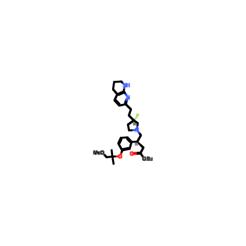 COCC(C)(C)Oc1cccc([C@H](CC(=O)OCC(C)C)CN2CC[C@@](F)(CCc3ccc4c(n3)NCCC4)C2)c1